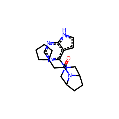 O=C(CC1CCCC1)N1C2CCC1CN(c1ncnc3[nH]ccc13)C2